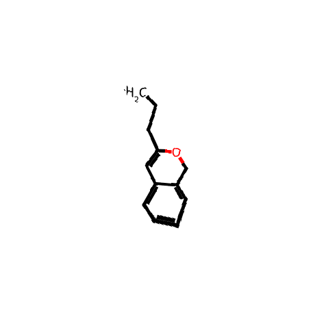 [CH2]CCC1=Cc2ccccc2CO1